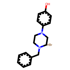 Br.Oc1ccc(N2CCN(Cc3ccccc3)CC2)cc1